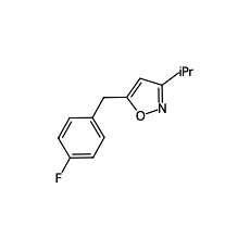 CC(C)c1cc(Cc2ccc(F)cc2)on1